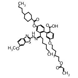 C=CC(=O)OCCCCCCOc1ccc(C(=O)O)c(-c2ccc(OC(=O)C3CCC(CCCC)CC3)cc2C(CCCCCC)=NNc2nc3ccc(OC)cc3s2)c1